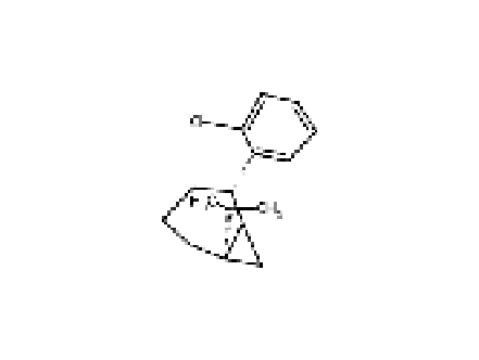 CC(C)[C@]12CCC[C@H](c3ccccc3Cl)C1C2